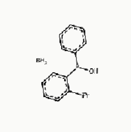 B.CC(C)c1ccccc1P(O)c1ccccc1